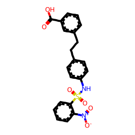 O=C(O)c1cccc(CCc2ccc(NS(=O)(=O)c3ccccc3[N+](=O)[O-])cc2)c1